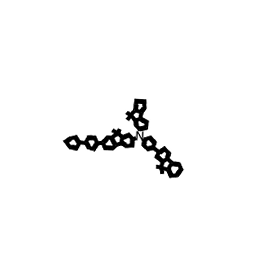 CC1(C)c2ccccc2-c2ccc(-c3ccc(N(c4ccc5c(c4)C(C)(C)c4ccccc4-5)c4ccc5c(c4)C(C)(C)c4cc(-c6ccc(-c7ccccc7)cc6)ccc4-5)cc3)cc21